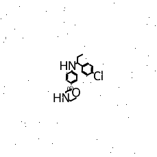 CCC(Nc1ccc([C@H]2CNCCO2)cc1)c1ccc(Cl)cc1